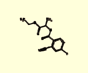 CCOC(=O)C(C)OC(=O)c1c[c]c(F)cc1C#N